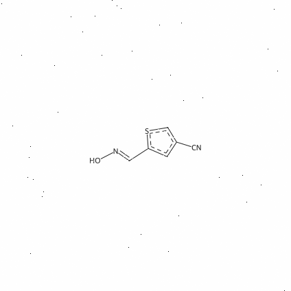 N#Cc1csc(C=NO)c1